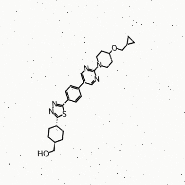 OC[C@H]1CC[C@H](c2nnc(-c3ccc(-c4cnc(N5CCC(OCC6CC6)CC5)nc4)cc3)s2)CC1